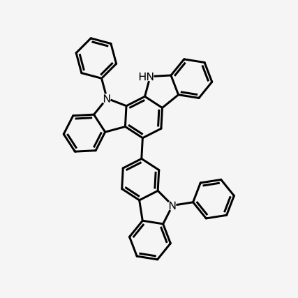 c1ccc(-n2c3ccccc3c3ccc(-c4cc5c6ccccc6[nH]c5c5c4c4ccccc4n5-c4ccccc4)cc32)cc1